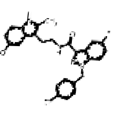 Cc1[nH]c2ccc(O)cc2c1CCNC(=O)c1nn(Cc2ccc(Cl)cc2)c2ccc(F)cc12